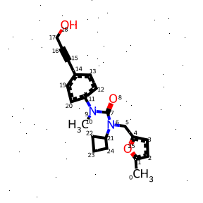 Cc1ccc(CN(C(=O)N(C)c2ccc(C#CCO)cc2)C2CCC2)o1